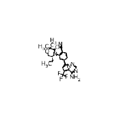 C=C[C@H]1COC(C)(C)C(=O)N1c1cc(-c2cc(C(F)(F)F)c3c(N)ncnn23)ccc1C#N